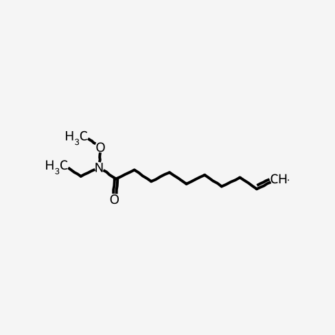 [CH]=CCCCCCCCC(=O)N(CC)OC